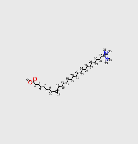 COC(=O)CCCCCCCC1CC1CCCCCCCCCCCCCCCCCCCC(N(C)C)N(C)C